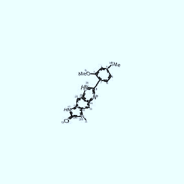 COc1cc(SC)ccc1-c1nc2cc3c(cc2[nH]1)[nH]c(=O)n3C